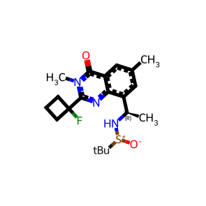 Cc1cc([C@@H](C)N[S+]([O-])C(C)(C)C)c2nc(C3(F)CCC3)n(C)c(=O)c2c1